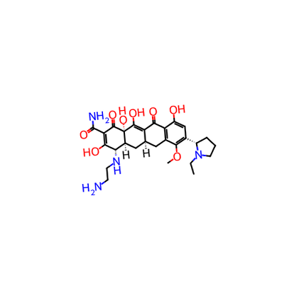 CCN1CCC[C@H]1c1cc(O)c2c(c1OC)C[C@H]1C[C@H]3[C@H](NCCN)C(O)=C(C(N)=O)C(=O)[C@@]3(O)C(O)=C1C2=O